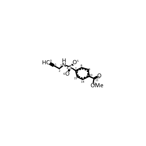 C#CCNS(=O)(=O)c1ccc(C(=O)OC)cc1